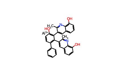 Cc1nc2c(O)cccc2cc1-c1c(O)ccc(-c2ccccc2)c1-c1cc2cccc(O)c2nc1C.[Al+3]